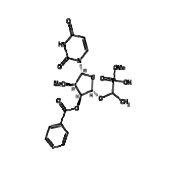 CO[C@@H]1[C@H](OC(=O)c2ccccc2)[C@@H](OC(C)P(=O)(O)OC)O[C@H]1n1ccc(=O)[nH]c1=O